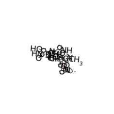 CN(CCCC(=O)Nc1cccc(CCNC[C@@H](O[Si](C)(C)C(C)(C)C)c2ccc(O)c3[nH]c(=O)ccc23)c1)C(=O)CCOC(=O)N(c1ccccc1-c1ccccc1)N1CC[CH]CC1